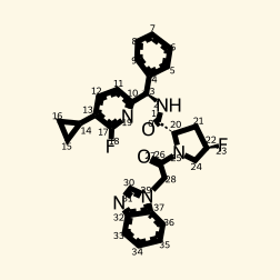 O=C(N[C@H](c1ccccc1)c1ccc(C2CC2)c(F)n1)[C@@H]1C[C@@H](F)CN1C(=O)Cn1cnc2ccccc21